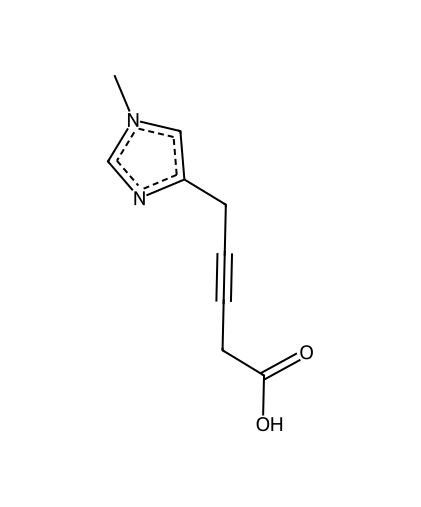 Cn1cnc(CC#CCC(=O)O)c1